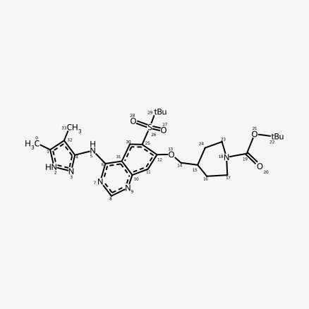 Cc1[nH]nc(Nc2ncnc3cc(OCC4CCN(C(=O)OC(C)(C)C)CC4)c(S(=O)(=O)C(C)(C)C)cc23)c1C